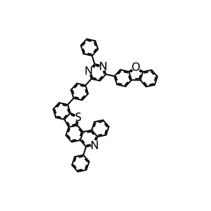 c1ccc(-c2nc(-c3ccc(-c4cccc5c4sc4c5ccc5c(-c6ccccc6)nc6ccccc6c54)cc3)cc(-c3ccc4c(c3)oc3ccccc34)n2)cc1